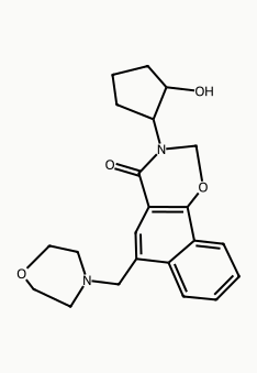 O=C1c2cc(CN3CCOCC3)c3ccccc3c2OCN1C1CCCC1O